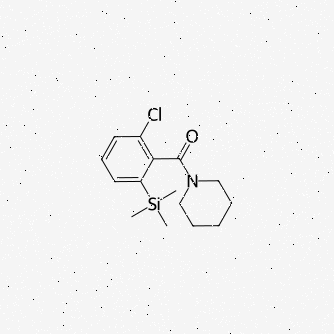 C[Si](C)(C)c1cccc(Cl)c1C(=O)N1CCCCC1